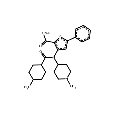 COC(=O)c1sc(-c2ccccc2)cc1N(C(=O)C1CCC(C)CC1)C1CCN(C)CC1